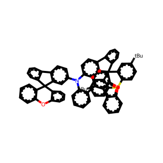 CC(C)(C)c1ccc2c(c1)C1(c3cc(C(C)(C)C)ccc3S2)c2ccccc2-c2ccc(N(c3ccc4c(c3)C3(c5ccccc5Oc5ccccc53)c3ccccc3-4)c3ccccc3-c3cccc4oc5ccccc5c34)cc21